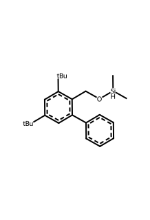 C[SiH](C)OCc1c(-c2ccccc2)cc(C(C)(C)C)cc1C(C)(C)C